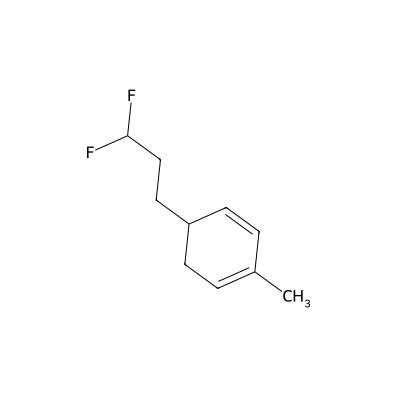 CC1=CCC(CCC(F)F)C=C1